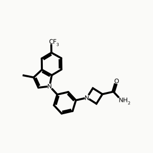 Cc1cn(-c2cccc(N3CC(C(N)=O)C3)c2)c2ccc(C(F)(F)F)cc12